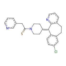 S=C(Cc1cccnc1)N1CCC(=C2c3ccc(Cl)cc3CCc3cccnc32)CC1